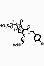 CC(=O)N/C=C/SC1=C(C(=O)OCc2ccc(Br)cc2)N2C(=O)[C@@H]([C@H](C)OS(=O)(=O)O)[C@H]2C1